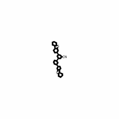 N#Cc1cc(-c2cccc(-c3ccc4c(c3)sc3ccccc34)c2)cc(-c2ccc3c(c2)sc2ccccc23)c1